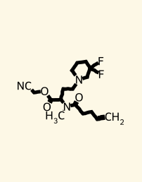 C=CCCC(=O)N(C)C(CCN1CCCC(F)(F)C1)C(=O)OCC#N